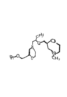 CC(C)OCC1CN(CC(C)OCC2CN(C)CCO2)CCO1